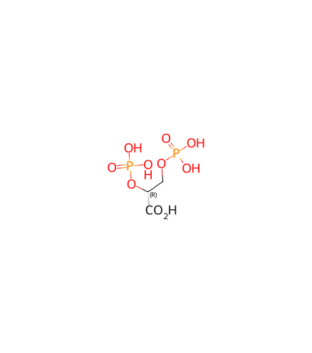 O=C(O)[C@@H](COP(=O)(O)O)OP(=O)(O)O